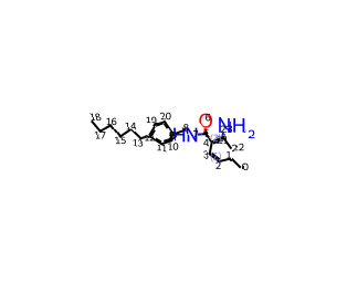 CC/C=C\C(C(=O)NCc1ccc(CCCCCC)cc1)=C(/C)N